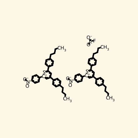 CCCCc1ccc(-c2cc(-c3ccc(CCCC)cc3)s[c+](-c3ccc([N+](=O)[O-])cc3)c2)cc1.CCCCc1ccc(-c2cc(-c3ccc(CCCC)cc3)s[c+](-c3ccc([N+](=O)[O-])cc3)c2)cc1.[O-]B([O-])F